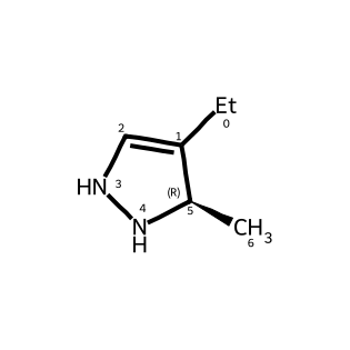 CCC1=CNN[C@@H]1C